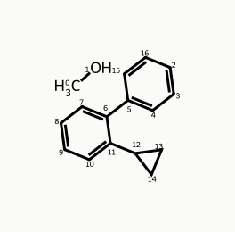 CO.c1ccc(-c2ccccc2C2CC2)cc1